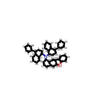 c1ccc(-c2ccc(N(c3cccc4cc5oc6ccccc6c5cc34)c3ccc(-c4ccccc4)c4ccccc34)c3ccccc23)cc1